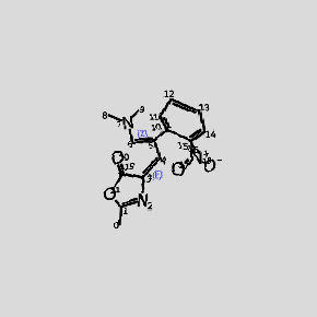 CC1=N/C(=C/C(=C/N(C)C)c2ccccc2[N+](=O)[O-])C(=O)O1